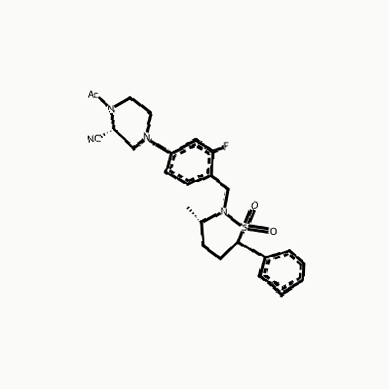 CC(=O)N1CCN(c2ccc(CN3[C@@H](C)CCC(c4ccccc4)S3(=O)=O)c(F)c2)C[C@@H]1C#N